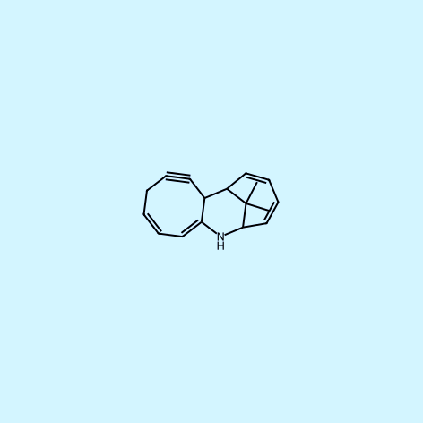 CC1(C)C2C=CC=CC1C1C#CC/C=C\C=C/1N2